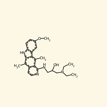 CCN(CC)CC(O)CNc1nccc2c(C)c3[nH]c4ccc(OC)cc4c3c(C)c12